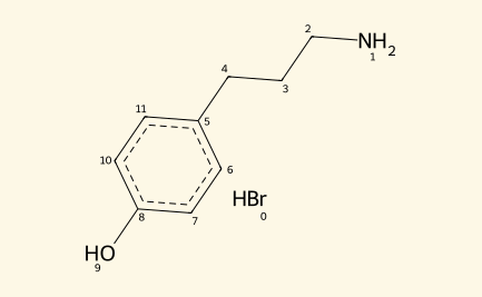 Br.NCCCc1ccc(O)cc1